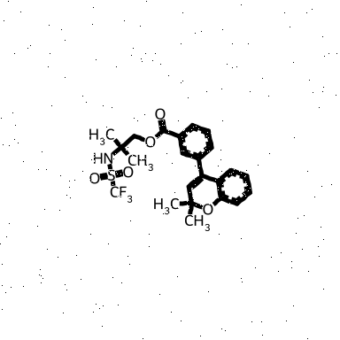 CC(C)(COC(=O)c1cccc(C2=CC(C)(C)Oc3ccccc32)c1)NS(=O)(=O)C(F)(F)F